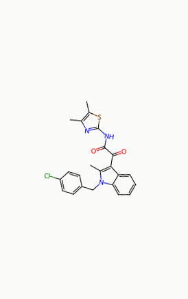 Cc1nc(NC(=O)C(=O)c2c(C)n(Cc3ccc(Cl)cc3)c3ccccc23)sc1C